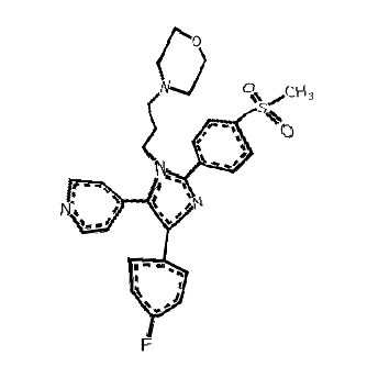 CS(=O)(=O)c1ccc(-c2nc(-c3ccc(F)cc3)c(-c3ccncc3)n2CCCN2CCOCC2)cc1